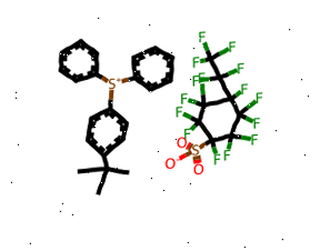 CC(C)(C)c1ccc([S+](c2ccccc2)c2ccccc2)cc1.O=S(=O)([O-])C1(F)C(F)(F)C(F)(F)C(F)(C(F)(F)C(F)(F)F)C(F)(F)C1(F)F